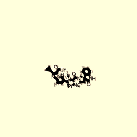 CC(C)C[C@@H](C(=O)N1C[C@]2(C[C@H]1C#N)C(=O)Nc1ccccc12)N(C)C(=O)c1cc(F)c2nc(C3CC3)c(C(=O)C(F)(F)F)n2c1